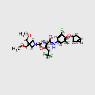 COCC1(COC)CN(c2nc(C(=O)Nc3cc(F)c(OC4CC5CC5C4)c(F)c3)c(CC(F)(F)F)o2)C1